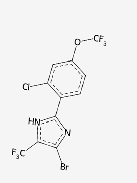 FC(F)(F)Oc1ccc(-c2nc(Br)c(C(F)(F)F)[nH]2)c(Cl)c1